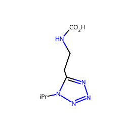 CC(C)n1nnnc1CCNC(=O)O